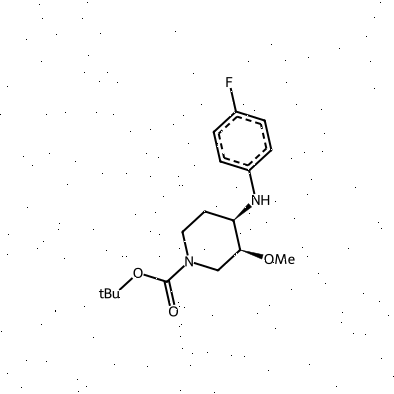 CO[C@H]1CN(C(=O)OC(C)(C)C)CC[C@H]1Nc1ccc(F)cc1